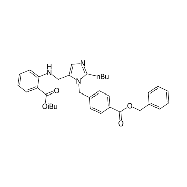 CCCCc1ncc(CNc2ccccc2C(=O)OCC(C)C)n1Cc1ccc(C(=O)OCc2ccccc2)cc1